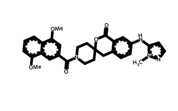 COc1cc(C(=O)N2CCC3(CC2)Cc2ccc(Nc4ccnn4C)cc2C(=O)O3)cc2c(OC)cccc12